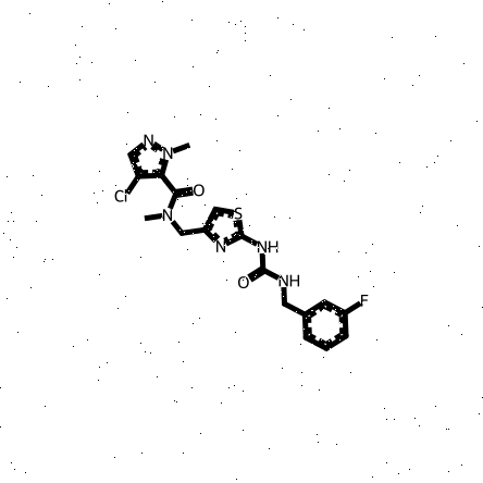 CN(Cc1csc(NC(=O)NCc2cccc(F)c2)n1)C(=O)c1c(Cl)cnn1C